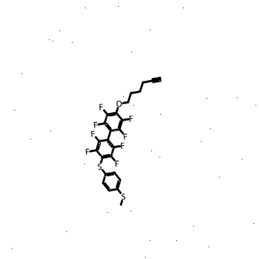 C#CCCCCOc1c(F)c(F)c(-c2c(F)c(F)c(Sc3ccc(SC)cc3)c(F)c2F)c(F)c1F